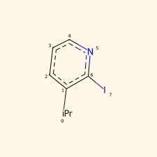 CC(C)c1cccnc1I